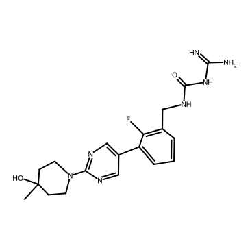 CC1(O)CCN(c2ncc(-c3cccc(CNC(=O)NC(=N)N)c3F)cn2)CC1